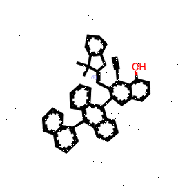 C#Cc1c(/C=C2\Cc3ccccc3C2(C)C)c(-c2c3ccccc3c(-c3cccc4ccccc34)c3ccccc23)cc2cccc(O)c12